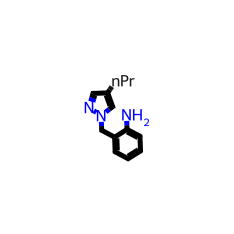 CCCc1cnn(Cc2ccccc2N)c1